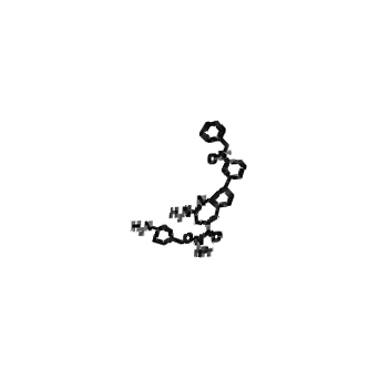 CCCN(OCc1ccc(N)cc1)C(=O)C1=Cc2ccc(-c3cccc([S+]([O-])Cc4ccccc4)c3)cc2N=C(N)C1